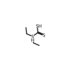 CC[SH](CC)C(=S)S